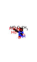 Cc1cc2nc3c(=O)[nH]c(=O)nc-3n(C[C@@H](O)[C@@H](O)[C@@H](O)CO)c2cc1CC(=O)O